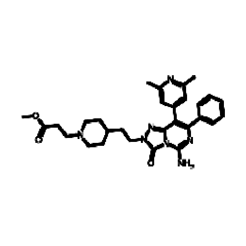 COC(=O)CCN1CCC(CCn2nc3c(-c4cc(C)nc(C)c4)c(-c4ccccc4)nc(N)n3c2=O)CC1